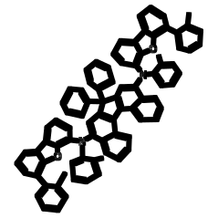 Cc1ccccc1-c1cccc2c1oc1c(N(c3ccccc3C)c3cc4c(c5ccccc35)-c3c(cc(N(c5ccccc5C)c5cccc6c5oc5c(-c7ccccc7C)cccc56)c5ccccc35)C4(c3ccccc3)c3ccccc3)cccc12